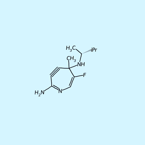 CC(C)[C@@H](C)NC1(C)C#CC(N)=NC=C1F